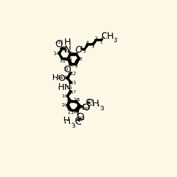 CCCCCCOc1ccc(OCC(O)CNCCc2ccc(OC)c(OC)c2)c2c1NC(=O)CC2